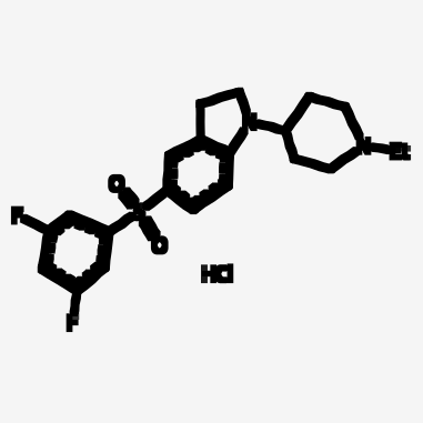 CCN1CCC(N2CCc3cc(S(=O)(=O)c4cc(F)cc(F)c4)ccc32)CC1.Cl